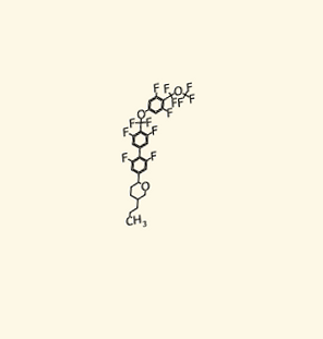 CCCC1CCC(c2cc(F)c(-c3cc(F)c(C(F)(F)Oc4cc(F)c(C(F)(F)OC(F)(F)F)c(F)c4)c(F)c3)c(F)c2)OC1